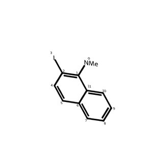 CNc1c(I)ccc2ccccc12